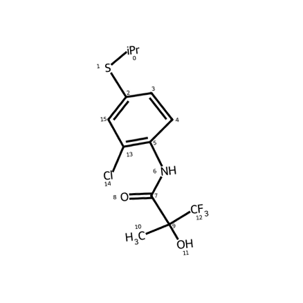 CC(C)Sc1ccc(NC(=O)C(C)(O)C(F)(F)F)c(Cl)c1